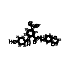 O=C(NCc1ccc2c(c1)OCCO2)c1cc([N+](=O)[O-])ccc1NC1CCC(O)CC1